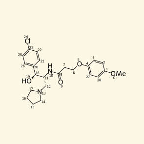 COc1ccc(OCCC(=O)N[C@H](CN2CCCC2)[C@@H](O)c2ccc(Cl)cc2)cc1